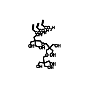 C=CC(=O)O.C=CC(=O)O.C=CC(=O)O.OCC(CO)(CO)COCC(CO)(CO)COCC(CO)(CO)CO